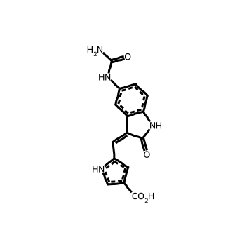 NC(=O)Nc1ccc2c(c1)C(=Cc1cc(C(=O)O)c[nH]1)C(=O)N2